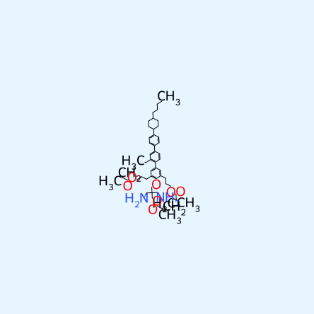 C=C(C)C(=O)OCCCc1cc(-c2ccc(-c3ccc(C4CCC(CCCCC)CC4)cc3)cc2CC)cc(CCCOC(=O)C(=C)C)c1OCC(CN)(CN)COC(=O)C(=C)C